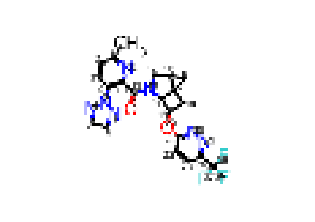 Cc1ccc(-n2nccn2)c(C(=O)N2CC3CC34CC(Oc3ccc(C(F)(F)F)nn3)C24)n1